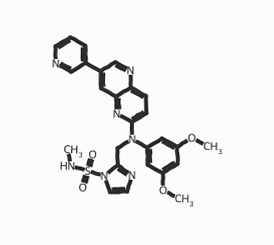 CNS(=O)(=O)n1ccnc1CN(c1cc(OC)cc(OC)c1)c1ccc2ncc(-c3cccnc3)cc2n1